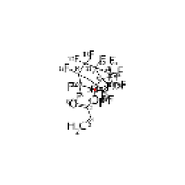 C=CC(=O)OC12C(F)(F)C3(F)C(F)(F)C(F)(C(F)(F)C(F)(C3(F)F)C1(F)F)C2(F)F